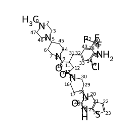 CN1CCN(C2CCN(C(=O)C(CC(=O)N3CCC(N4Cc5ccsc5NC4=O)CC3)Cc3cc(Cl)c(N)c(C(F)(F)F)c3)CC2)CC1